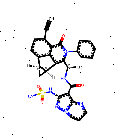 C#Cc1ccc2c3c(c([C@@H](C)NC(=O)c4c(NS(N)(=O)=O)nn5cccnc45)n(-c4ccccc4)c(=O)c13)[C@H]1C[C@@H]21